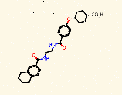 O=C(NCCNC(=O)c1ccc2c(c1)CCCC2)c1ccc(O[C@H]2CC[C@@H](C(=O)O)CC2)cc1